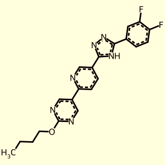 CCCCOc1ncc(-c2ccc(-c3nnc(-c4ccc(F)c(F)c4)[nH]3)cn2)cn1